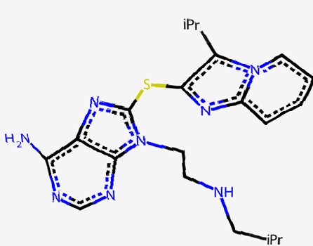 CC(C)CNCCn1c(Sc2nc3ccccn3c2C(C)C)nc2c(N)ncnc21